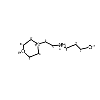 [O]CCCNCCN1CCOCC1